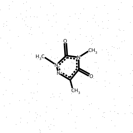 Cc1nn(C)c(=O)n(C)c1=O